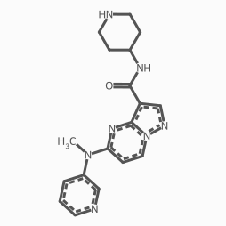 CN(c1cccnc1)c1ccn2ncc(C(=O)NC3CCNCC3)c2n1